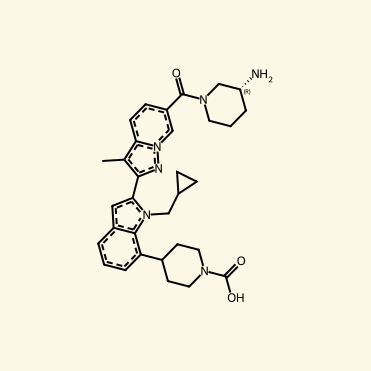 Cc1c(-c2cc3cccc(C4CCN(C(=O)O)CC4)c3n2CC2CC2)nn2cc(C(=O)N3CCC[C@@H](N)C3)ccc12